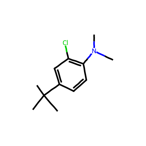 CN(C)c1ccc(C(C)(C)C)cc1Cl